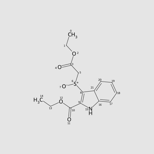 CCOC(=O)C[S+]([O-])c1c(C(=O)OCC)[nH]c2ccccc12